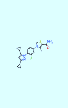 CC1=C(C(N)=O)SCN1c1ccc(-n2nc(C3CC3)cc2C2CC2)c(F)c1